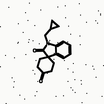 O=C1CCC2(CC1)C(=O)N(CC1CC1)c1ccccc12